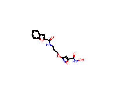 O=C(NO)c1cc(OCCCNC(=O)c2cc3ccccc3o2)no1